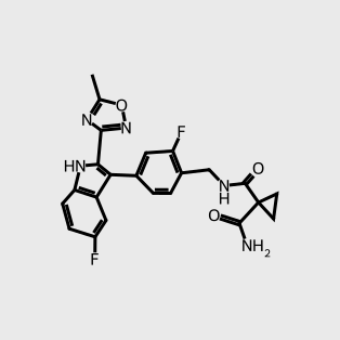 Cc1nc(-c2[nH]c3ccc(F)cc3c2-c2ccc(CNC(=O)C3(C(N)=O)CC3)c(F)c2)no1